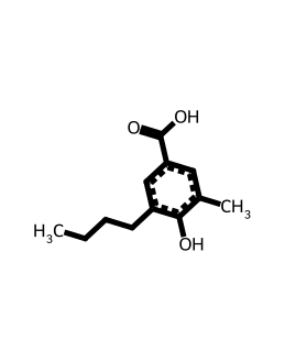 CCCCc1cc(C(=O)O)cc(C)c1O